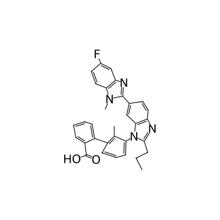 CCCc1nc2ccc(-c3nc4cc(F)ccc4n3C)cc2n1-c1cccc(-c2ccccc2C(=O)O)c1C